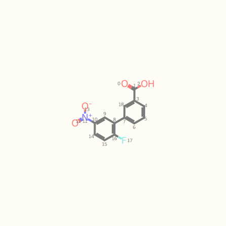 O=C(O)c1cccc(-c2cc([N+](=O)[O-])ccc2F)c1